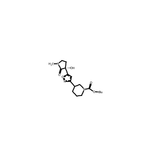 CN1CC[C@@](O)(c2cc(C3CCCN(C(=O)OC(C)(C)C)C3)no2)C1=O